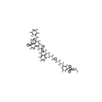 NS(=O)(=O)c1cccc(CCCCOCCCCCCN(Cc2ccccc2)C(=O)Cc2ccc(OCc3ccccc3)c3[nH]c(=O)ccc23)c1